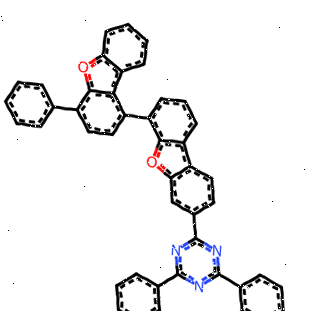 c1ccc(-c2nc(-c3ccccc3)nc(-c3ccc4c(c3)oc3c(-c5ccc(-c6ccccc6)c6oc7ccccc7c56)cccc34)n2)cc1